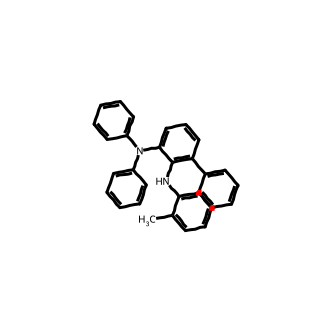 Cc1ccccc1Nc1c(-c2ccccc2)cccc1N(c1ccccc1)c1ccccc1